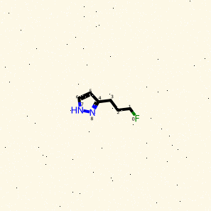 FCCCc1cc[nH]n1